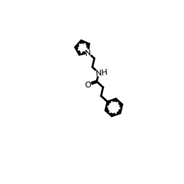 O=C(CCc1ccccc1)NCCn1cccc1